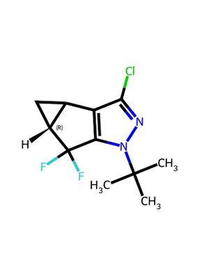 CC(C)(C)n1nc(Cl)c2c1C(F)(F)[C@@H]1CC21